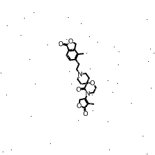 CC1=C(N2CCOC3(CCN(CCc4ccc5c(c4C)COC5=O)CC3)C2=O)COC1=O